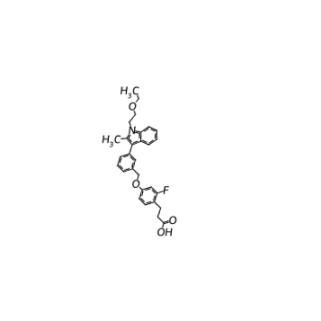 CCOCCn1c(C)c(-c2cccc(COc3ccc(CCC(=O)O)c(F)c3)c2)c2ccccc21